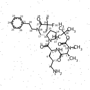 C[C@@H](C(=O)N[C@@H](CCCN)C(=O)N1CCC[C@H]1CN(CCc1ccccc1)C(=O)C(F)(F)F)N(C)C(=O)OC(C)(C)C